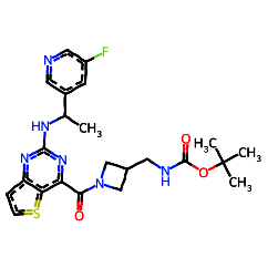 CC(Nc1nc(C(=O)N2CC(CNC(=O)OC(C)(C)C)C2)c2sccc2n1)c1cncc(F)c1